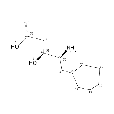 C[C@@H](O)C[C@H](O)[C@@H](N)CC1CCCCC1